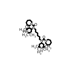 CC1(C)CC(N(CCCCCCN(C(=O)N2CCCCCC2)C2CC(C)(C)NC(C)(C)C2)C(=O)N2CCCCCC2)CC(C)(C)N1